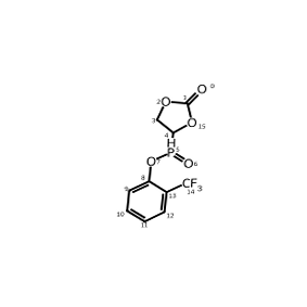 O=C1OCC([PH](=O)Oc2ccccc2C(F)(F)F)O1